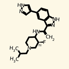 C=C(NC1CCN(CC(C)C)C[C@@H]1F)c1n[nH]c2ccc(-c3cn[nH]c3)cc12